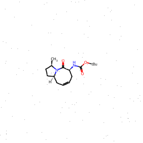 C[C@@H]1CC[C@@H]2C/C=C\C[C@H](NC(=O)OC(C)(C)C)C(=O)N21